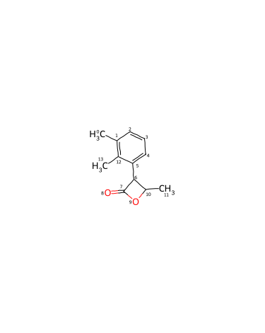 Cc1cccc(C2C(=O)OC2C)c1C